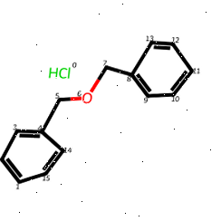 Cl.c1ccc(COCc2ccccc2)cc1